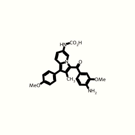 COc1ccc(-c2c(C)c(C(=O)c3ccc(N)c(OC)c3)n3cc(NC(=O)O)ccc23)cc1